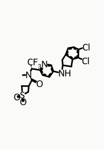 CN(C(=O)C1CS(=O)(=O)C1)[C@@H](c1ccc(NC2Cc3ccc(Cl)c(Cl)c3C2)cn1)C(F)(F)F